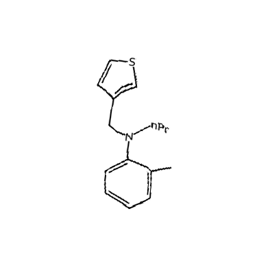 CCCN(Cc1ccsc1)c1ccccc1C